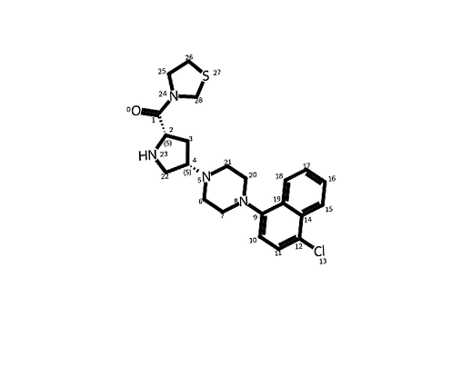 O=C([C@@H]1C[C@H](N2CCN(c3ccc(Cl)c4ccccc34)CC2)CN1)N1CCSC1